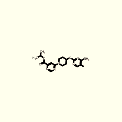 CC(C)OC(=O)c1cc(N2CCC(Oc3ncc(F)c(N)n3)CC2)ncn1